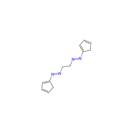 C1=CCC(N=NCCN=NC2=CC=CC2)=C1